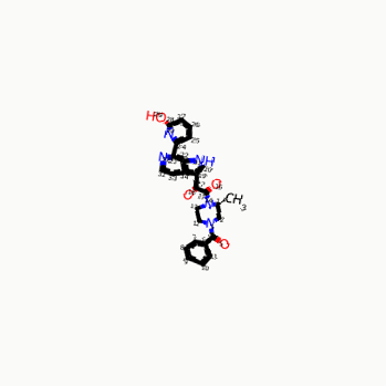 C[C@@H]1CN(C(=O)c2ccccc2)CCN1C(=O)C(=O)c1c[nH]c2c(-c3cccc(O)n3)nccc12